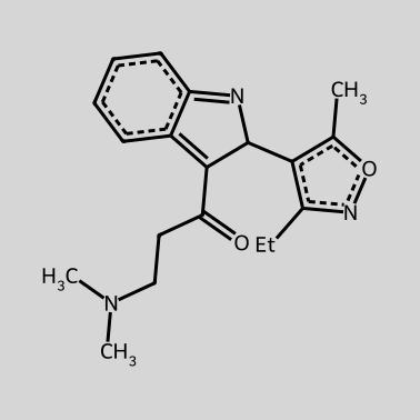 CCc1noc(C)c1C1N=c2ccccc2=C1C(=O)CCN(C)C